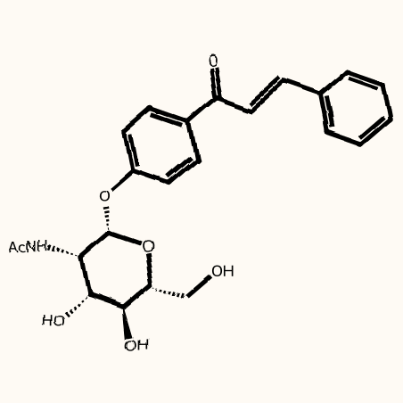 CC(=O)N[C@@H]1[C@H](Oc2ccc(C(=O)/C=C/c3ccccc3)cc2)O[C@H](CO)[C@@H](O)[C@@H]1O